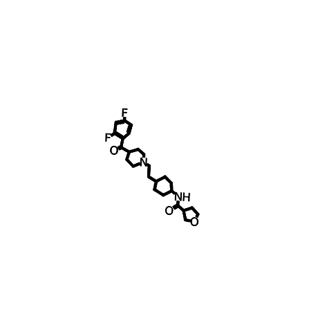 O=C(NC1CCC(CCN2CCC(C(=O)c3ccc(F)cc3F)CC2)CC1)C1CCOC1